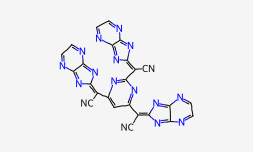 N#CC(=C1N=c2nccnc2=N1)c1cc(C(C#N)=C2N=c3nccnc3=N2)nc(C(C#N)=C2N=c3nccnc3=N2)n1